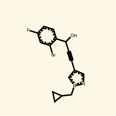 OC(C#Cc1cnn(CC2CC2)c1)c1ccc(F)cc1Br